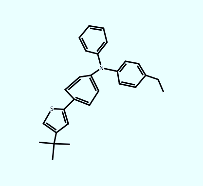 CCc1ccc(N(c2ccccc2)c2ccc(-c3cc(C(C)(C)C)cs3)cc2)cc1